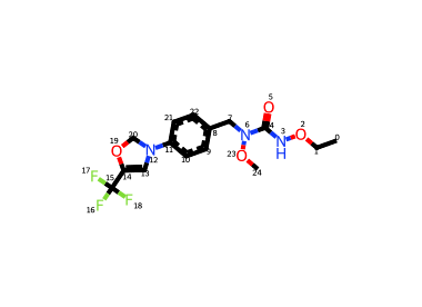 CCONC(=O)N(Cc1ccc(N2C=C(C(F)(F)F)OC2)cc1)OC